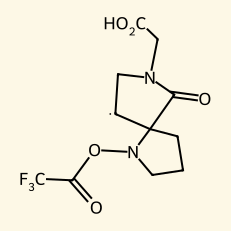 O=C(O)CN1C[CH]C2(CCCN2OC(=O)C(F)(F)F)C1=O